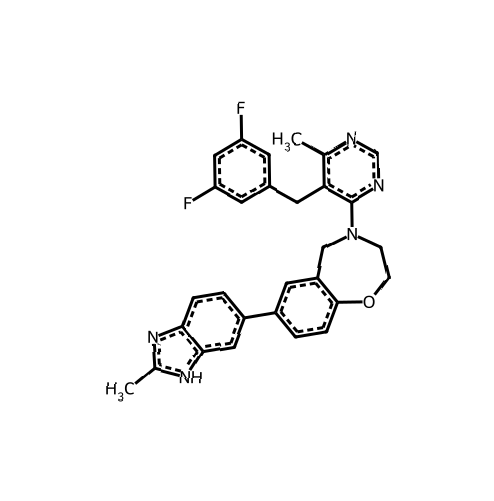 Cc1nc2ccc(-c3ccc4c(c3)CN(c3ncnc(C)c3Cc3cc(F)cc(F)c3)CCO4)cc2[nH]1